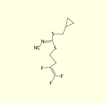 N#CN=C(SCCC(F)=C(F)F)SCC1CC1